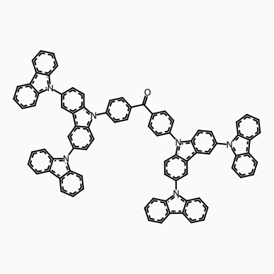 O=C(c1ccc(-n2c3ccc(-n4c5ccccc5c5ccccc54)cc3c3cc(-n4c5ccccc5c5ccccc54)ccc32)cc1)c1ccc(-n2c3ccc(-n4c5ccccc5c5ccccc54)cc3c3cc(-n4c5ccccc5c5ccccc54)ccc32)cc1